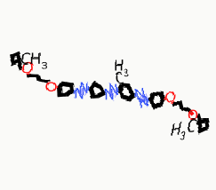 Cc1cc(/N=N/c2ccc(OCCCCOCC3(C)CCC3)cc2)ccc1/N=N/c1ccc(/N=N/c2ccc(OCCCCOCC3(C)CCC3)cc2)cc1